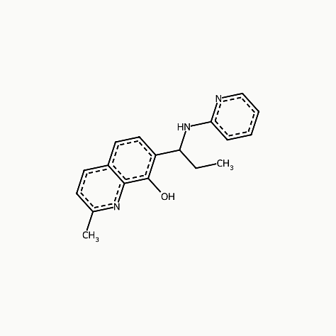 CCC(Nc1ccccn1)c1ccc2ccc(C)nc2c1O